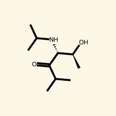 CC(C)N[C@@H](C(=O)C(C)C)[C@H](C)O